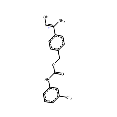 N/C(=N\O)c1ccc(COC(=O)Nc2cccc(C(F)(F)F)c2)cc1